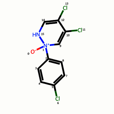 [O-][N+]1(c2ccc(Cl)cc2)C=C(Cl)C(Cl)=CN1